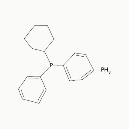 P.c1ccc(P(c2ccccc2)C2CCCCC2)cc1